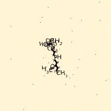 C=C(SCCCPCCC(CCC)OC)C(C)(C)O